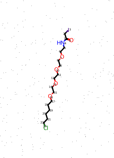 O=C(CI)NCCOCCOCCOCCOCCCCCCCl